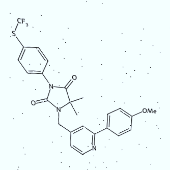 COc1ccc(-c2cc(CN3C(=O)N(c4ccc(SC(F)(F)F)cc4)C(=O)C3(C)C)ccn2)cc1